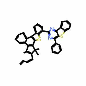 C=C/C=C\C1=C(C)c2c(c3sc4c(-c5nc(-c6ccccc6)c6sc7ccccc7c6n5)cccc4c3c3ccccc23)C1(C)C